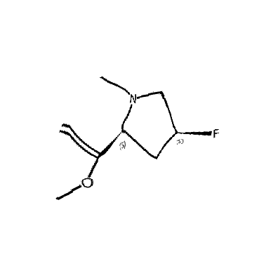 C=C(OC)[C@@H]1C[C@H](F)CN1C